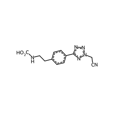 N#CCn1nnc(-c2ccc(CCNC(=O)O)cc2)n1